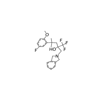 COc1ccc(F)cc1C(C)(C)CC(O)(CN1Cc2ccccc2C1)C(F)(F)F